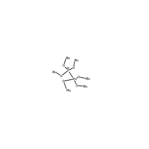 CCC(C)O[PH](OC(C)CC)(OC(C)CC)[PH](OC(C)(C)C)(OC(C)(C)C)OC(C)(C)C